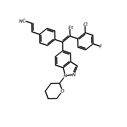 CCC(=C(c1ccc(C=CC#N)cc1)c1ccc2c(cnn2C2CCCCO2)c1)c1ccc(F)cc1Cl